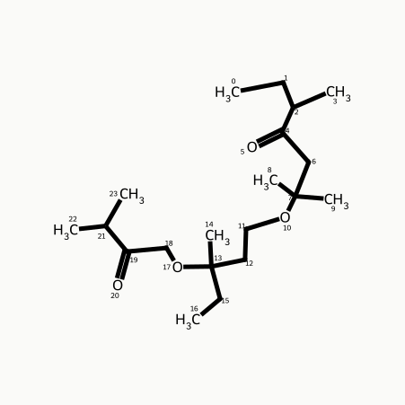 CCC(C)C(=O)CC(C)(C)OCCC(C)(CC)OCC(=O)C(C)C